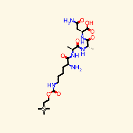 C[C@H](NC(=O)[C@H](C)NC(=O)[C@@H](N)CCCCNC(=O)OCC[Si](C)(C)C)C(=O)N[C@@H](CC(N)=O)C(=O)O